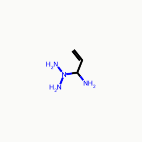 C=CC(N)N(N)N